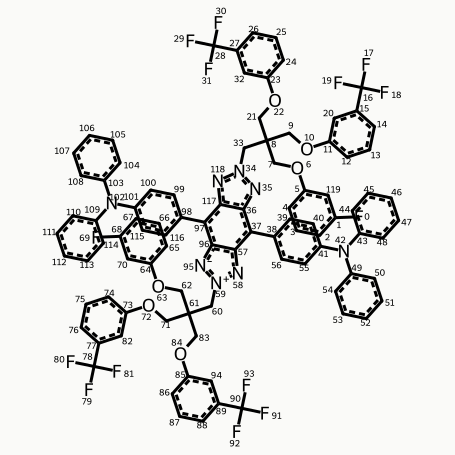 Fc1cccc(OCC(COc2cccc(C(F)(F)F)c2)(COc2cccc(C(F)(F)F)c2)Cn2nc3c(-c4ccc(N(c5ccccc5)c5ccccc5)cc4)c4n[n+](CC(COc5cccc(F)c5)(COc5cccc(C(F)(F)F)c5)COc5cccc(C(F)(F)F)c5)[n-]c4c(-c4ccc(N(c5ccccc5)c5ccccc5)cc4)c3n2)c1